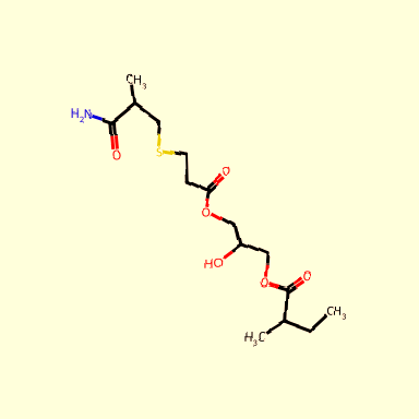 CCC(C)C(=O)OCC(O)COC(=O)CCSCC(C)C(N)=O